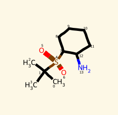 CC(C)(C)S(=O)(=O)C1CCCCC1N